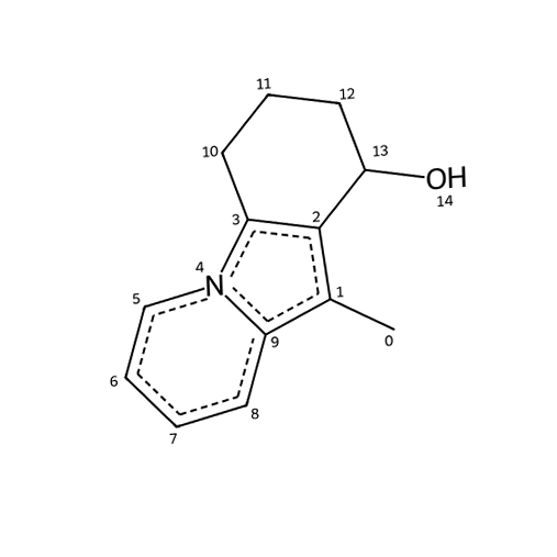 Cc1c2c(n3ccccc13)CCCC2O